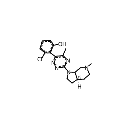 Cc1nc(N2CC[C@@H]3CCN(C)CC32)nnc1-c1c(O)cccc1Cl